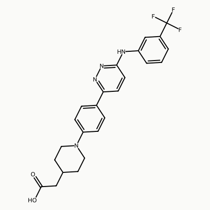 O=C(O)CC1CCN(c2ccc(-c3ccc(Nc4cccc(C(F)(F)F)c4)nn3)cc2)CC1